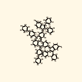 Cc1ccc2c(c1)c(-c1ccccc1)c(-c1ccccc1)n2-c1ccc2c(c1)N(c1ccc(-c3ccccc3)cc1)c1cccc3c1B2c1ccc(-n2c(-c4ccccc4)c(-c4ccccc4)c4cc(C)ccc42)cc1N3c1ccc(-c2ccccc2)cc1